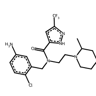 CC1CCCCN1CCN(Cc1cc(N)ccc1Cl)C(=O)c1cc(C(F)(F)F)n[nH]1